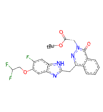 CC(C)(C)OC(=O)Cn1nc(Cc2nc3cc(OCC(F)F)c(F)cc3[nH]2)c2ccccc2c1=O